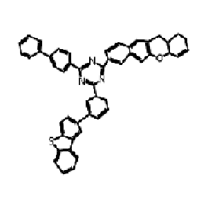 C1=CC2Oc3cc4cc(-c5nc(-c6ccc(-c7ccccc7)cc6)nc([C@@H]6C=C(c7ccc8sc9ccccc9c8c7)C=CC6)n5)ccc4cc3CC2CC1